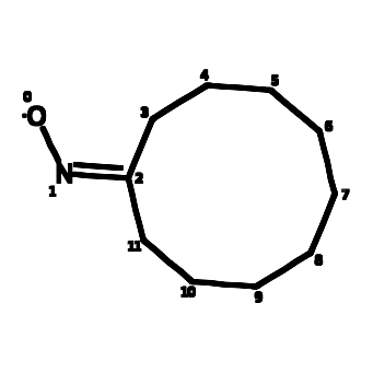 [O]N=C1CCCCCCCCC1